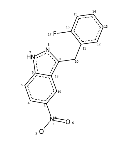 O=[N+]([O-])c1ccc2[nH]nc(Cc3ccccc3F)c2c1